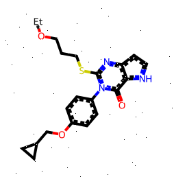 CCOCCCSc1nc2cc[nH]c2c(=O)n1-c1ccc(OCC2CC2)cc1